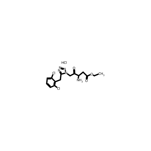 CCOC(=O)CC(N)C(=O)Cn1nnnc1Cc1c(Cl)cccc1Cl.Cl